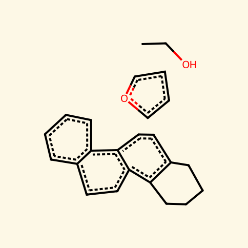 CCO.c1ccc2c(c1)ccc1c3c(ccc12)CCCC3.c1ccoc1